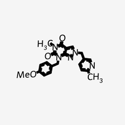 COc1ccc(Cn2c(=O)n(C)c(=O)c3cn(Cc4ccc(C)nc4)nc32)cc1